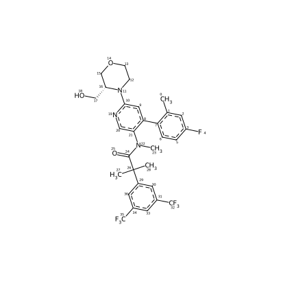 Cc1cc(F)ccc1-c1cc(N2CCOC[C@H]2CO)ncc1N(C)C(=O)C(C)(C)c1cc(C(F)(F)F)cc(C(F)(F)F)c1